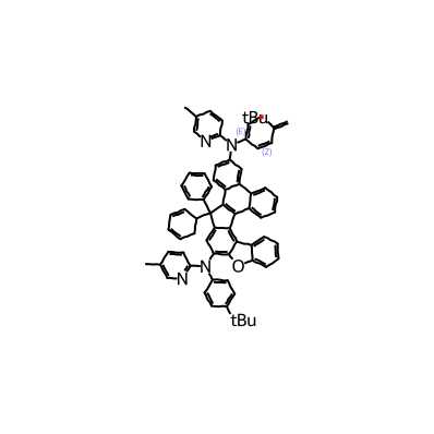 C=C(/C=C\C(=C/C)N(c1ccc2c3c(c4ccccc4c2c1)-c1c(cc(N(c2ccc(C(C)(C)C)cc2)c2ccc(C)cn2)c2oc4ccccc4c12)C3(c1ccccc1)C1C=CC=CC1)c1ccc(C)cn1)C(C)(C)C